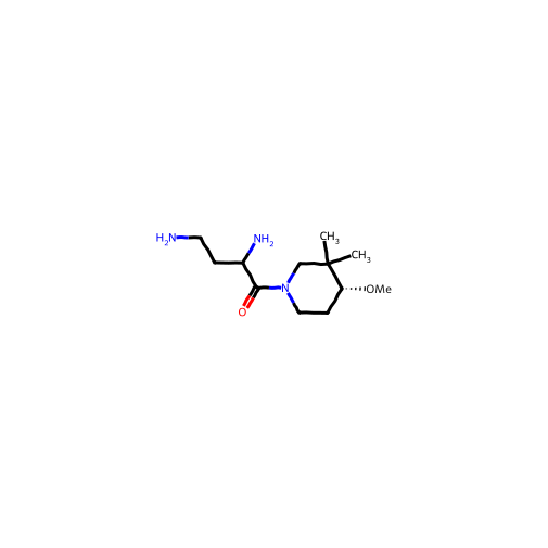 CO[C@@H]1CCN(C(=O)C(N)CCN)CC1(C)C